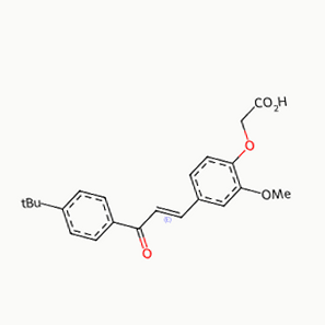 COc1cc(/C=C/C(=O)c2ccc(C(C)(C)C)cc2)ccc1OCC(=O)O